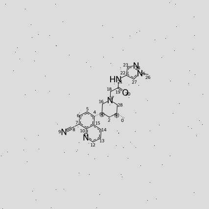 C[C@@H]1C[C@H](c2ccc(C#N)c3ncccc23)CN(CC(=O)Nc2cnn(C)c2)C1